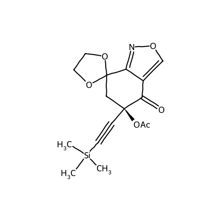 CC(=O)O[C@@]1(C#C[Si](C)(C)C)CC2(OCCO2)c2nocc2C1=O